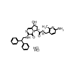 Cc1nc(N)ccc1CNC(=O)[C@@H]1C[C@H](O)c2cnc(NCC(c3ccccc3)c3ccccc3)c(=O)n21.Cl.Cl